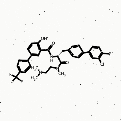 CN(C)CCN(C)C(=O)[C@@H](Cc1ccc(-c2ccc(F)c(Cl)c2)cc1)NC(=O)c1cc(-c2ccc(C(F)(F)F)cc2)ccc1O